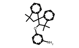 CC1(C)CC2(c3ccccc31)c1ccccc1C(C)(C)C2Oc1cccc(N)c1